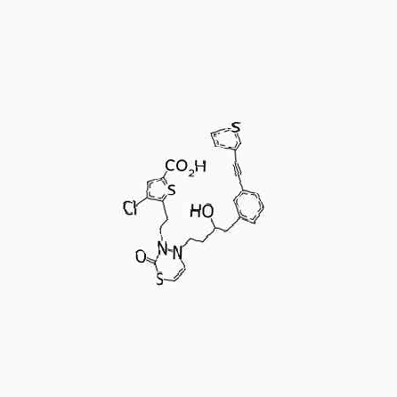 O=C(O)c1cc(Cl)c(CCN2C(=O)SC=CN2CCC(O)Cc2cccc(C#Cc3ccsc3)c2)s1